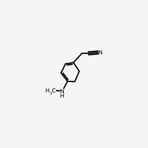 CNC1=CC=C(CC#N)CC1